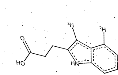 [2H]c1cccc2[nH]c(CCC(=O)O)c([2H])c12